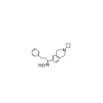 ON=C(CCc1ccccc1)c1ccc2c(c1)CCN(C1CCC1)CC2